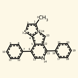 Cc1csc2c3c(-c4ccccc4)cnc(-c4ccccc4)c3cn12